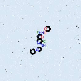 O=C(NOC1CCCCO1)/C(F)=C\c1cnc(N[C@@H]2CCN(C3CCCCC3)C2)c(Cl)c1